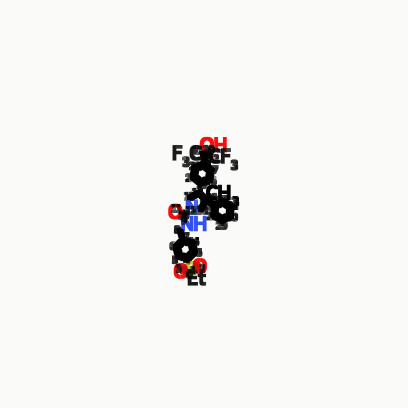 CCS(=O)(=O)c1ccc(CNC(=O)N2C[C@H](c3ccc(C(O)(C(F)(F)F)C(F)(F)F)cc3)[C@](C)(c3ccccc3)C2)cc1